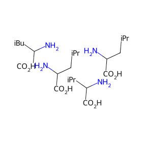 CC(C)C(N)C(=O)O.CC(C)CC(N)C(=O)O.CC(C)CC(N)C(=O)O.CCC(C)C(N)C(=O)O